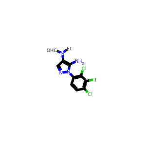 CCN(C=O)c1cnn(-c2ccc(Cl)c(Cl)c2Cl)c1N